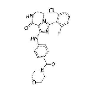 O=C1NCCn2c(-c3c(F)cccc3Cl)nc(Nc3ccc(C(=O)N4CCOCC4)cc3)c21